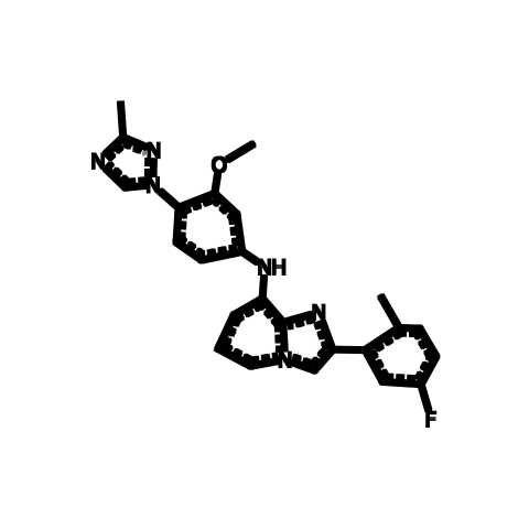 COc1cc(Nc2cccn3cc(-c4cc(F)ccc4C)nc23)ccc1-n1cnc(C)n1